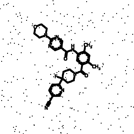 Cc1cc(C)c(C(=O)N2CCC(F)(c3ccc(C#N)cn3)CC2)cc1NC(=O)c1cnc(N2CCOCC2)nc1